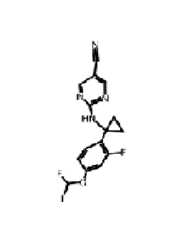 N#Cc1cnc(NC2(c3ccc(OC(F)F)cc3F)CC2)nc1